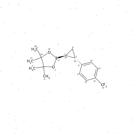 CC1(C)OB([C@H]2C[C@@H]2c2ccc(C(F)(F)F)cc2)OC1(C)C